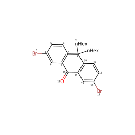 CCCCCCC1(CCCCCC)c2ccc(Br)cc2C(=O)c2cc(Br)ccc21